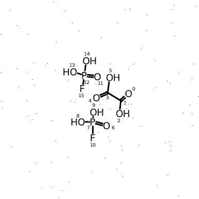 O=C(O)C(=O)O.O=P(O)(O)F.O=P(O)(O)F